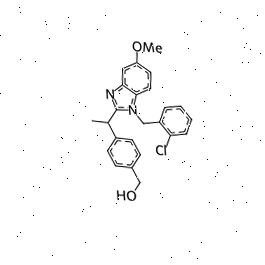 COc1ccc2c(c1)nc(C(C)c1ccc(CO)cc1)n2Cc1ccccc1Cl